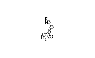 NC(=O)C1CN(c2cccc(-c3ccc(F)nc3)c2)CC1c1ccccc1